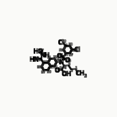 CCCCC(C(=O)O)N(c1ccc2c(C(=N)NO)cccc2c1)S(=O)(=O)c1cc(Cl)cc(Cl)c1